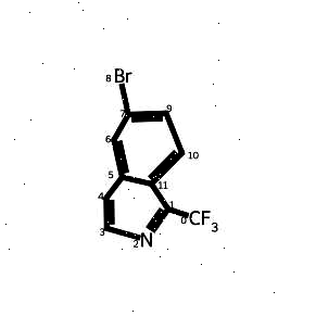 FC(F)(F)c1nccc2cc(Br)ccc12